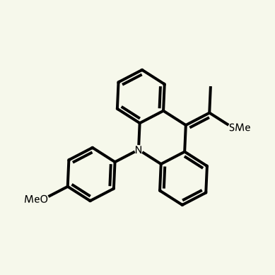 COc1ccc(N2c3ccccc3C(=C(C)SC)c3ccccc32)cc1